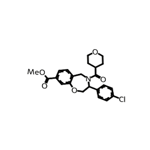 COC(=O)c1ccc2c(c1)OCC(c1ccc(Cl)cc1)N(C(=O)C1CCOCC1)C2